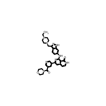 CCN1CCN(Cc2n[nH]c3cc(Nc4nc(-c5cncc(C(=O)N6CCOCC6)c5)cc5cc[nH]c(=O)c45)ccc23)CC1